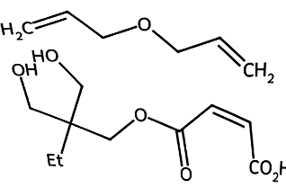 C=CCOCC=C.CCC(CO)(CO)COC(=O)/C=C\C(=O)O